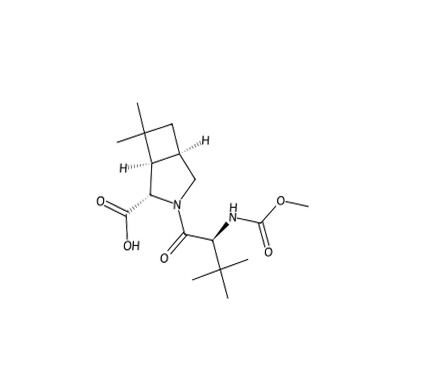 COC(=O)N[C@H](C(=O)N1C[C@@H]2CC(C)(C)[C@@H]2[C@H]1C(=O)O)C(C)(C)C